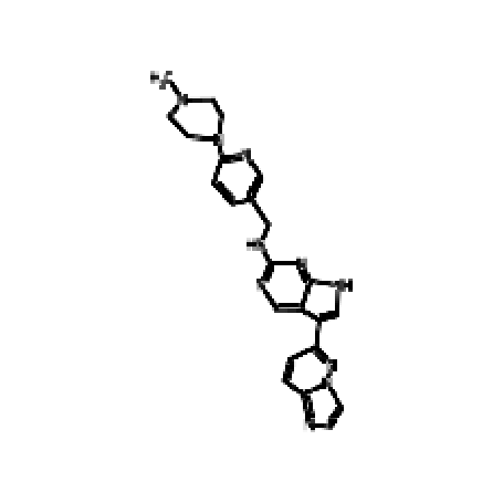 CN1CCN(c2ccc(CNc3ncc4c(-c5ccc6nccn6n5)c[nH]c4n3)cn2)CC1